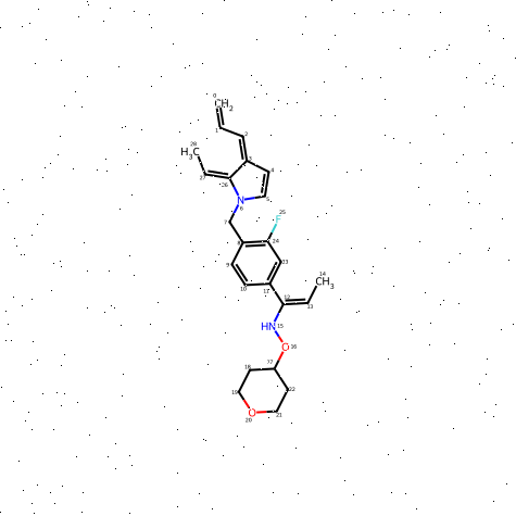 C=C/C=c1/ccn(Cc2ccc(/C(=C\C)NOC3CCOCC3)cc2F)/c1=C/C